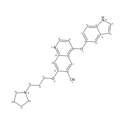 N#Cc1cc2c(Oc3ccc4[nH]ccc4c3)ccnc2cc1OCCCN1CCCC1